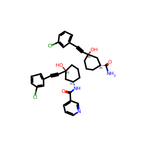 NC(=O)[C@@H]1CCC[C@](O)(C#Cc2cccc(Cl)c2)C1.O=C(N[C@H]1CCC[C@@](O)(C#Cc2cccc(Cl)c2)C1)c1cccnc1